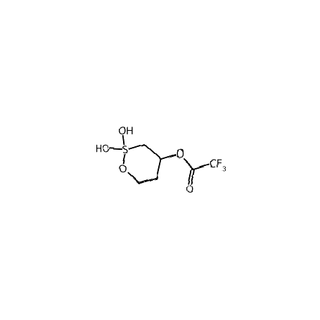 O=C(OC1CCOS(O)(O)C1)C(F)(F)F